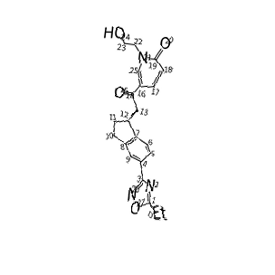 CCc1nc(-c2ccc3c(c2)CC[C@H]3CC(=O)c2ccc(=O)n(CCO)c2)no1